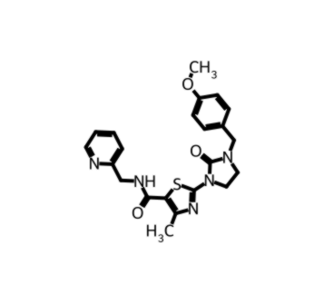 COc1ccc(CN2CCN(c3nc(C)c(C(=O)NCc4ccccn4)s3)C2=O)cc1